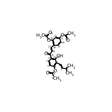 C=C(C)/C=C/c1c(OC(C)=O)ccc(C(=O)/C=C/c2ccc(OC(C)=O)cc2OC(C)=O)c1O